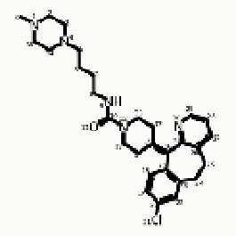 CN1CCN(CCCCNC(=O)N2CCC(=C3c4ccc(Cl)cc4CCc4cccnc43)CC2)CC1